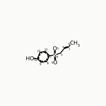 CC=CCS(=O)(=O)c1ccc(O)cc1